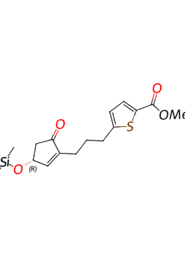 COC(=O)c1ccc(CCCC2=C[C@H](O[Si](C)(C)C(C)(C)C)CC2=O)s1